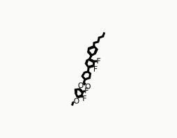 CCCCCc1ccc(-c2ccc(C3CCC(C(=O)Oc4ccc(OCC)c(F)c4F)CC3)c(F)c2F)cc1